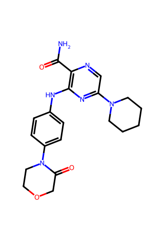 NC(=O)c1ncc(N2CCCCC2)nc1Nc1ccc(N2CCOCC2=O)cc1